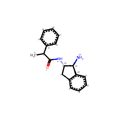 CC(C(=O)N[C@H]1Cc2ccccc2C1N)c1ccccc1